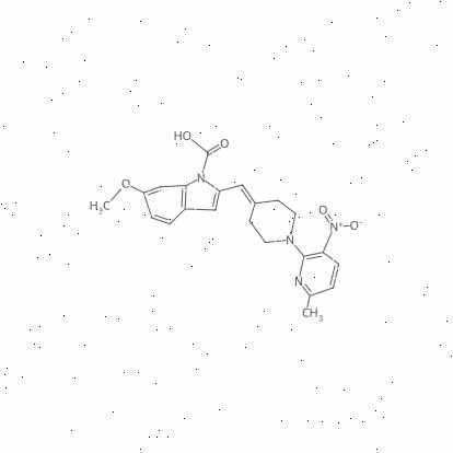 COc1ccc2cc(C=C3CCN(c4nc(C)ccc4[N+](=O)[O-])CC3)n(C(=O)O)c2c1